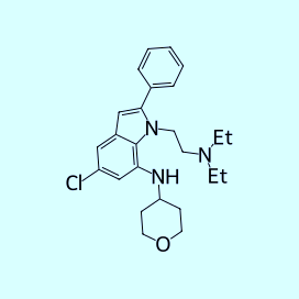 CCN(CC)CCn1c(-c2ccccc2)cc2cc(Cl)cc(NC3CCOCC3)c21